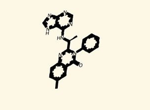 Cc1ccc2nc([C@H](C)Nc3ncnc4nc[nH]c34)n(-c3ccccc3)c(=O)c2c1